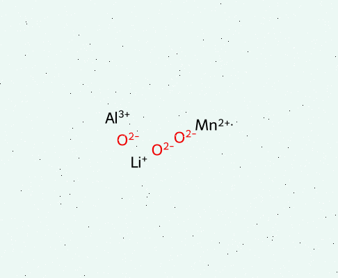 [Al+3].[Li+].[Mn+2].[O-2].[O-2].[O-2]